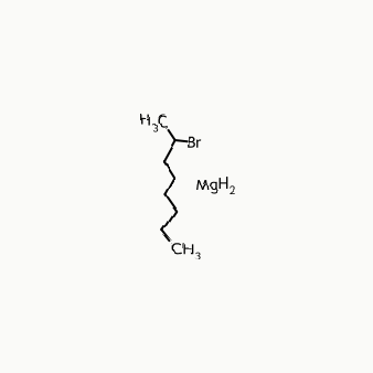 CCCCCCC(C)Br.[MgH2]